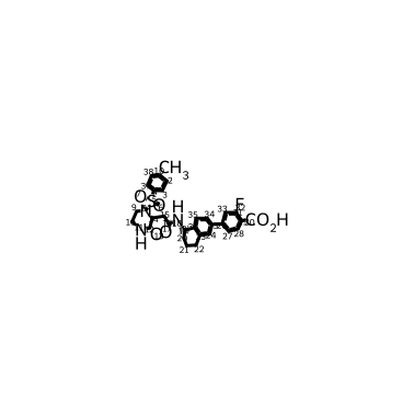 Cc1ccc(S(=O)(=O)N2CCNC(=O)C2CC(=O)N[C@@H]2CCCc3cc(-c4ccc(C(=O)O)c(F)c4)ccc32)cc1